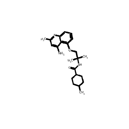 Cc1cc(N)c2c(OCC(C)(C)NC(=O)C3CCC(C)CC3)cccc2n1